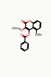 CCCCCCCCCCOc1c(OC(=O)c2ccccc2)c2c(OC)cccc2oc1=O